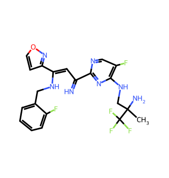 CC(N)(CNc1nc(C(=N)/C=C(\NCc2ccccc2F)c2ccon2)ncc1F)C(F)(F)F